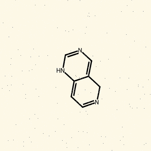 C1=NC=C2CN=CC=C2N1